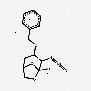 [N-]=[N+]=NC1[C@@H]2OCC(C[C@H]1OCc1ccccc1)O2